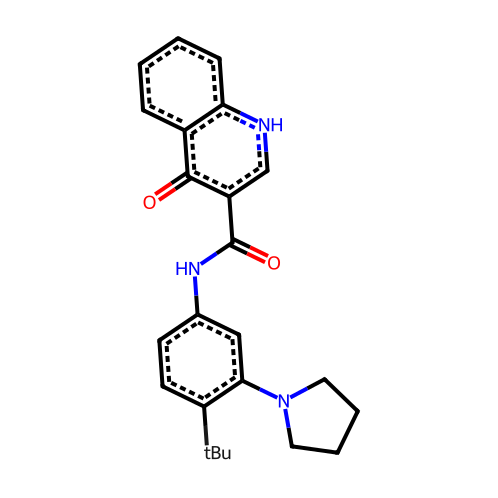 CC(C)(C)c1ccc(NC(=O)c2c[nH]c3ccccc3c2=O)cc1N1CCCC1